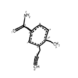 C#Cc1cc(C(N)=O)ccc1C